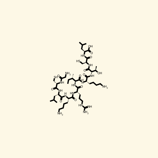 CC[C@H](C)[C@H](NC(=O)[C@H](CCCNC(=N)N)NC(=O)[C@H](CCCCN)NC(=O)[C@H](CC(C)C)NC(=O)[C@H](CS)NC(=O)CN)C(=O)N[C@@H](CCCCN)C(=O)N[C@H](C(=O)N[C@@H](CS)C(=O)N[C@@H](CC(C)C)C(=O)O)[C@@H](C)O